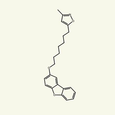 Cc1cc(CCCCCCCOc2ccc3oc4ccccc4c3c2)on1